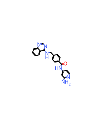 Nc1cc(NC(=O)c2ccc(CNc3ncnc4ccccc34)cc2)ccn1